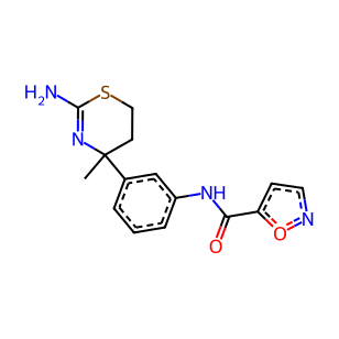 CC1(c2cccc(NC(=O)c3ccno3)c2)CCSC(N)=N1